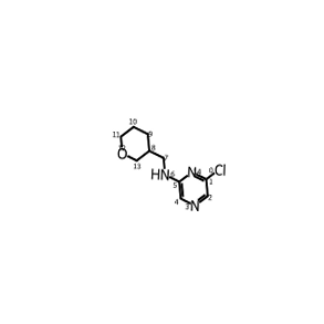 Clc1cncc(NCC2CCCOC2)n1